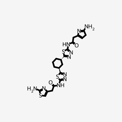 NC1=NC(CC(=O)Nc2nnc([C@H]3CCC[C@H](c4nnc(NC(=O)Cc5csc(N)n5)s4)C3)s2)=CC1